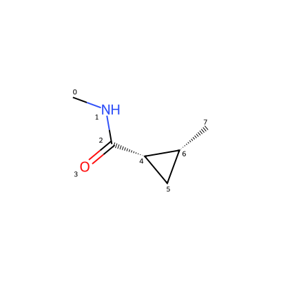 CNC(=O)[C@H]1C[C@H]1C